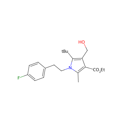 CCOC(=O)c1c(CO)c(C(C)(C)C)n(CCc2ccc(F)cc2)c1C